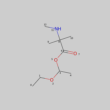 CCOC(C)OC(=O)C(C)(C)NC